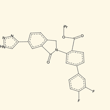 CC(C)OC(=O)c1ccc(-c2ccc(F)c(F)c2)cc1N1Cc2ccc(-c3c[nH]nn3)cc2C1=O